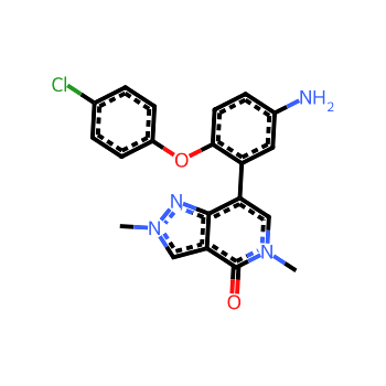 Cn1cc2c(=O)n(C)cc(-c3cc(N)ccc3Oc3ccc(Cl)cc3)c2n1